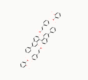 COc1ccccc1C(=O)Oc1ccc(/C=C/C(=O)Oc2ccc3cc(-c4ccccc4)ccc3c2-c2c(OC(=O)/C=C/c3ccc(OC(=O)c4ccccc4OC)cc3)ccc3cc(-c4ccccc4)ccc23)cc1